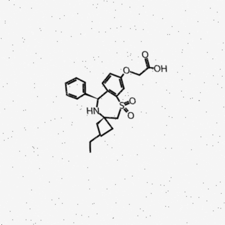 CCCC[C@]1(CC)CS(=O)(=O)c2cc(OCC(=O)O)ccc2[C@H](c2ccccc2)N1